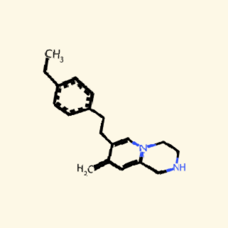 C=C1C=C2CNCCN2C=C1CCc1ccc(CC)cc1